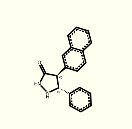 O=C1NN[C@@H](c2ccccc2)[C@@H]1c1ccc2ccccc2c1